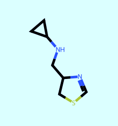 C1=NC(CNC2CC2)CS1